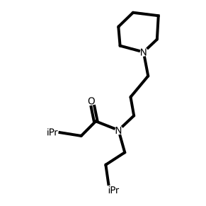 CC(C)CCN(CCCN1CCCCC1)C(=O)CC(C)C